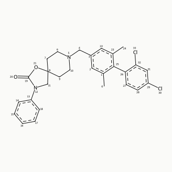 Cc1cc(CN2CCC3(CC2)CN(c2ccccc2)C(=O)O3)cc(C)c1-c1ccc(Cl)cc1Cl